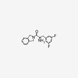 N[C@H](Cc1cc(F)cc(F)c1)C(=O)N1Cc2ccccc2C1